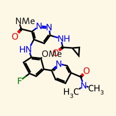 CNC(=O)c1nnc(NC(=O)C2CC2)cc1Nc1cc(F)cc(-c2ccc(C(=O)N(C)C)cn2)c1OC